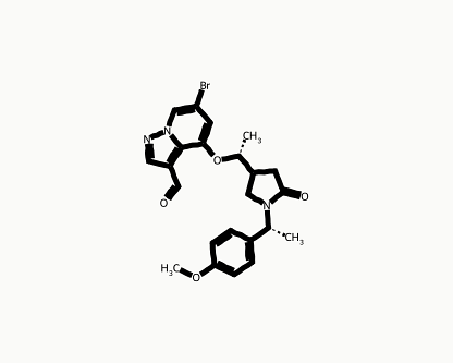 COc1ccc([C@@H](C)N2CC([C@@H](C)Oc3cc(Br)cn4ncc(C=O)c34)CC2=O)cc1